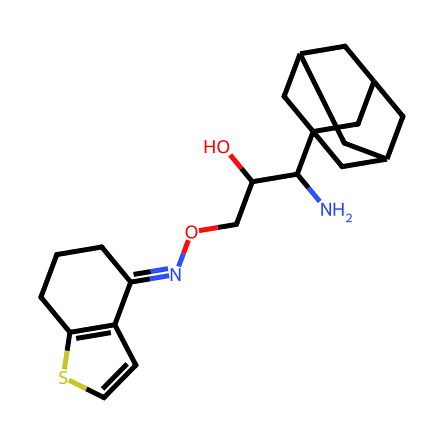 NC(C(O)CON=C1CCCc2sccc21)C12CC3CC(CC(C3)C1)C2